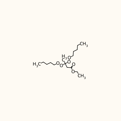 CCCCCOOC(C)(CC(=O)OCC)OOCCCCC